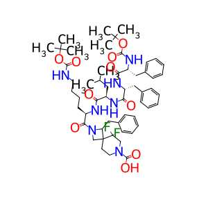 CC(C)C[C@@H](NC(=O)[C@@H](Cc1ccccc1)NC(=O)[C@@H](Cc1ccccc1)NC(=O)OC(C)(C)C)C(=O)N[C@H](CCCCNC(=O)OC(C)(C)C)C(=O)N1CC2(CCN(C(=O)O)CC2(F)F)C1Cc1ccccc1